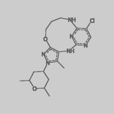 Cc1c2c(nn1C1CC(C)OC(C)C1)OCCCNc1nc(ncc1Cl)N2